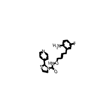 Nc1ccc(F)cc1CC=CCONC(=O)N1[C]=CSC1c1ccncc1